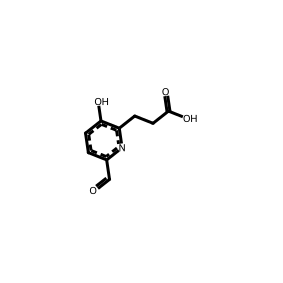 O=Cc1ccc(O)c(CCC(=O)O)n1